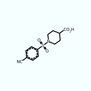 N#Cc1ccc(S(=O)(=O)N2CCC(C(=O)O)CC2)cc1